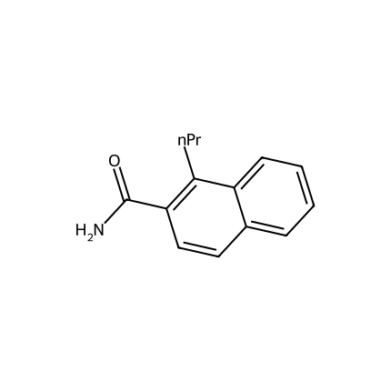 CCCc1c(C(N)=O)ccc2ccccc12